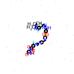 Cc1nc2c(F)cc(-c3nc(Nc4ccc(S(=O)(=O)C5CCN(CC6CCN(C7CN(c8cc9c(cc8F)C(=O)N(C8CCC(=O)NC8=O)C9=O)C7)CC6)CC5)cc4)ncc3F)cc2n1C(C)C